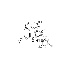 CCN(Cc1ccncc1)S(=O)(=O)c1cc(C(=O)NOCC2CC2)c(Nc2ccc(I)cc2Cl)c(F)c1F